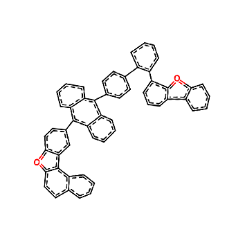 c1ccc(-c2cccc3c2oc2ccccc23)c(-c2ccc(-c3c4ccccc4c(-c4ccc5oc6ccc7ccccc7c6c5c4)c4ccccc34)cc2)c1